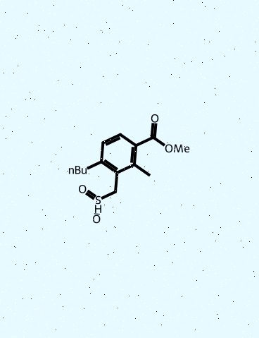 CCCCc1ccc(C(=O)OC)c(C)c1C[SH](=O)=O